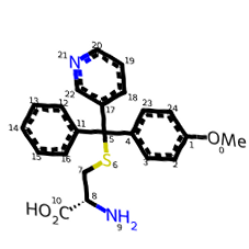 COc1ccc(C(SC[C@H](N)C(=O)O)(c2ccccc2)c2cccnc2)cc1